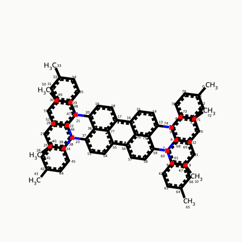 Cc1ccc(N(c2ccc(C)cc2)c2ccc3c4ccc(N(c5ccc(C)cc5)c5ccc(C)cc5)c5c(N(c6ccc(C)cc6)c6ccc(C)cc6)ccc(c6ccc(N(c7ccc(C)cc7)c7ccc(C)cc7)c2c36)c54)cc1